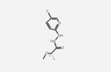 CO[C@@H](C)C(=O)NNc1ccc(F)cn1